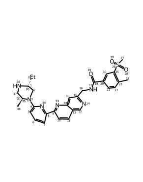 CC[C@@H]1CN(c2cccc(-c3ccc4cnc(CNC(=O)c5ccc(C)c(S(C)(=O)=O)c5)cc4n3)n2)[C@@H](C)CN1